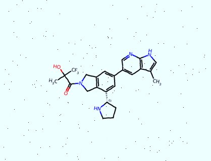 Cc1c[nH]c2ncc(-c3cc4c(c([C@@H]5CCCN5)c3)CN(C(=O)C(C)(O)C(F)(F)F)C4)cc12